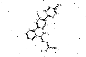 NC(N)=C/C=C(\N)c1ccccc1-c1ccc(-c2cnc(N)cn2)c(F)c1